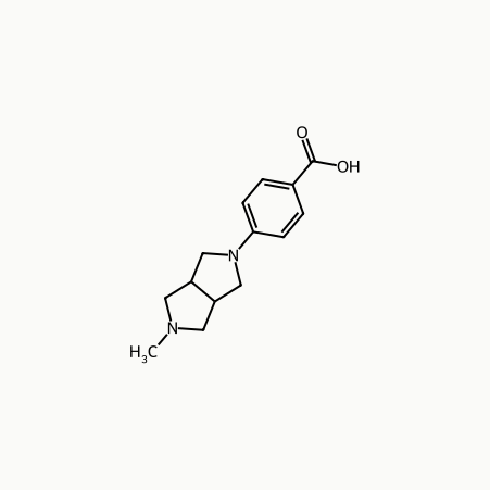 CN1CC2CN(c3ccc(C(=O)O)cc3)CC2C1